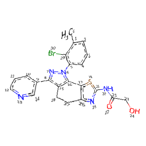 Cc1cccc(-n2nc(-c3cccnc3)c3c2-c2sc(NC(=O)CO)nc2CC3)c1Br